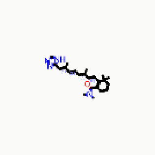 CC(/C=C/C1=C(C(=O)N(C)C)CCCC1(C)C)=C\C=C\C(C)=C\c1nnc[nH]1